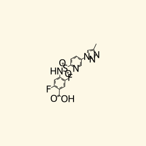 Cc1cn(-c2ccc(S(=O)(=O)Nc3cc(F)c(C(=O)O)cc3F)nc2)nn1